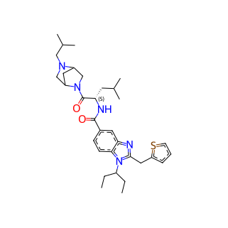 CCC(CC)n1c(Cc2cccs2)nc2cc(C(=O)N[C@@H](CC(C)C)C(=O)N3CC4CC3CN4CC(C)C)ccc21